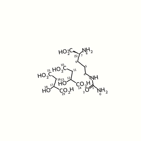 NC(=O)NCCC[C@H](N)C(=O)O.O=C(O)CC(O)C(=O)O.O=C(O)CC(O)C(=O)O